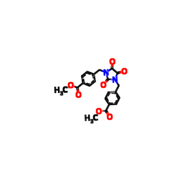 COC(=O)c1ccc(CN2C(=O)C(=O)N(Cc3ccc(C(=O)OC)cc3)C2=O)cc1